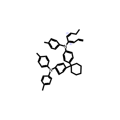 C=C/C=C(\C=C/CC)N(c1ccc(C)cc1)c1ccc(C2(c3ccc(N(c4ccc(C)cc4)c4ccc(C)cc4)cc3)CCCCC2)cc1